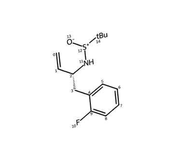 C=C[C@@H](Cc1ccccc1F)N[S+]([O-])C(C)(C)C